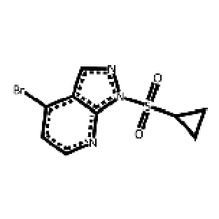 O=S(=O)(C1CC1)n1ncc2c(Br)ccnc21